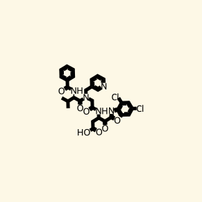 CC(C)[C@H](NC(=O)c1ccccc1)C(=O)N(CC(=O)NC(CC(=O)O)C(=O)c1nc2c(Cl)cc(Cl)cc2o1)Cc1cccnc1